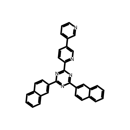 c1cncc(-c2ccc(-c3nc(-c4ccc5ccccc5c4)nc(-c4ccc5ccccc5c4)n3)nc2)c1